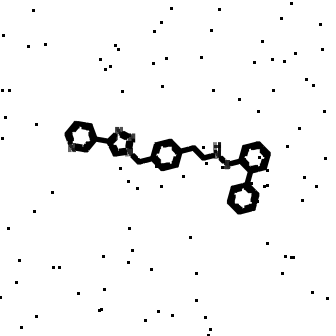 c1ccc(-c2ccccc2SNCCc2ccc(Cn3cc(-c4cccnc4)nn3)cc2)cc1